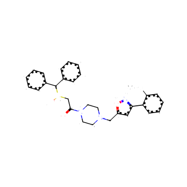 COc1ccccc1-c1cc(CN2CCN(C(=O)C[S+]([O-])C(c3ccccc3)c3ccccc3)CC2)on1